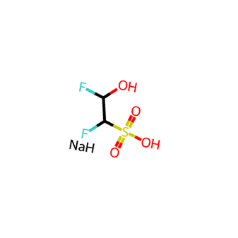 O=S(=O)(O)C(F)C(O)F.[NaH]